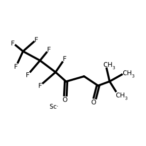 CC(C)(C)C(=O)CC(=O)C(F)(F)C(F)(F)C(F)(F)F.[Sc]